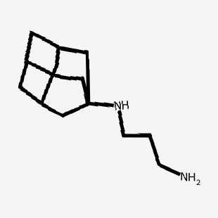 NCCCNC12CC3CC4CC(C1)C43C2